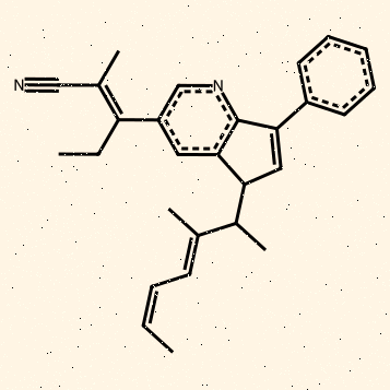 C/C=C\C=C(/C)C(C)C1C=C(c2ccccc2)c2ncc(/C(CC)=C(\C)C#N)cc21